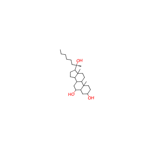 CCCCCC[C@](C)(O)C1CCC2C3CC(O)C4CC(O)CCC4(C)C3CCC21C